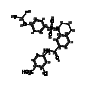 O=C(Nc1ccc(C(=O)O)c(Cl)c1)c1ccc2c(c1)N(S(=O)(=O)c1ccc(OC(F)F)cc1)CCC2